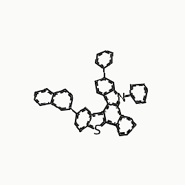 c1ccc(-c2ccc3c4c5c6cc(-c7ccc8ccccc8c7)ccc6sc5c5ccccc5c4n(-c4ccccc4)c3c2)cc1